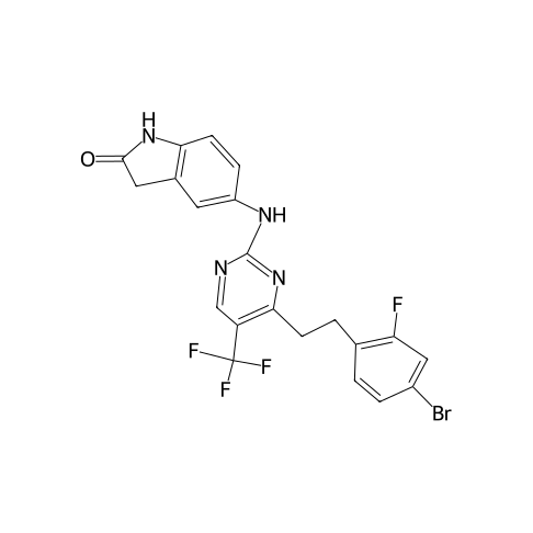 O=C1Cc2cc(Nc3ncc(C(F)(F)F)c(CCc4ccc(Br)cc4F)n3)ccc2N1